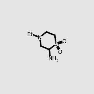 CCN1CCS(=O)(=O)C(N)C1